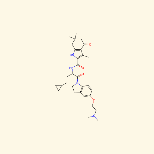 Cc1c(C(=O)NC(CCC2CC2)C(=O)N2CCc3cc(OCCN(C)C)ccc32)[nH]c2c1C(=O)CC(C)(C)C2